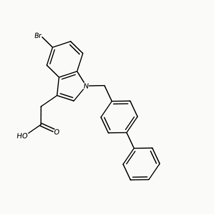 O=C(O)Cc1cn(Cc2ccc(-c3ccccc3)cc2)c2ccc(Br)cc12